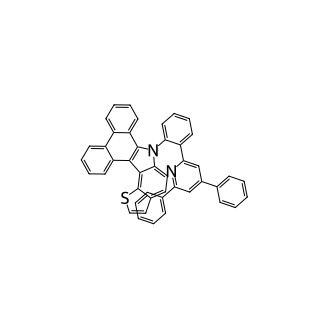 c1ccc(-c2cc(-c3ccccc3)nc(-c3ccccc3-n3c4ccc5ccsc5c4c4c5ccccc5c5ccccc5c43)c2)cc1